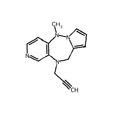 C#CCN1Cc2cccn2N(C)c2ccncc21